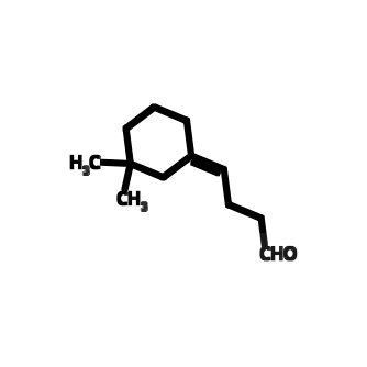 CC1(C)CCCC(=CCCC=O)C1